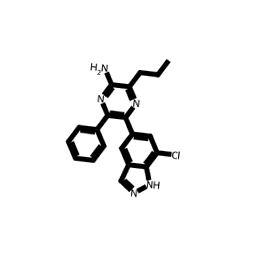 CCCc1nc(-c2cc(Cl)c3[nH]ncc3c2)c(-c2ccccc2)nc1N